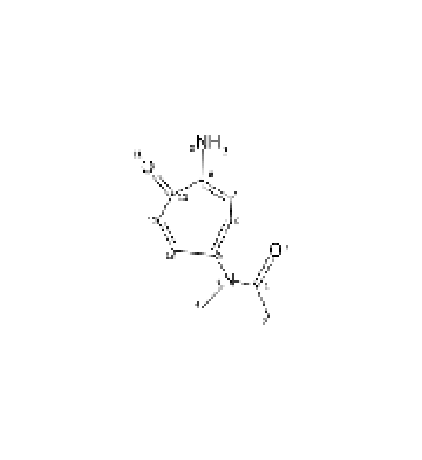 CC(=O)N(C)c1ccc(N)c(=O)cc1